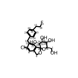 OC[C@H]1O[C@]2(OCc3cc(Cl)c(Cc4ccc(CCF)cc4)cc32)[C@H](O)[C@@H](O)[C@@H]1O